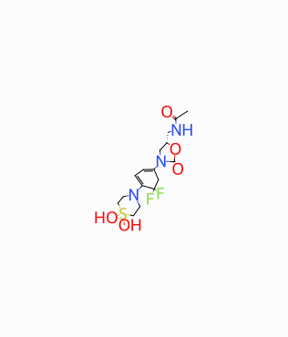 CC(=O)NC[C@H]1CN(C2=CC=C(N3CCS(O)(O)CC3)C(F)(F)C2)C(=O)O1